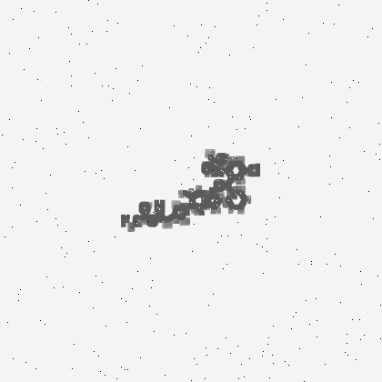 Cc1cn2nc([C@@H]3CCCCN3C(=O)c3cc(Cl)ccc3NS(C)(=O)=O)cc2nc1N1CC(CNOC(=O)C(F)(F)F)C1